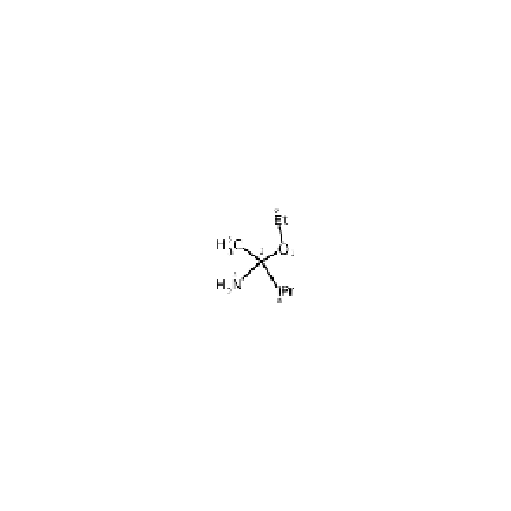 CCOC(C)(N)C(C)C